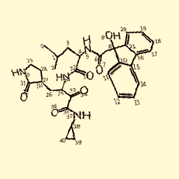 CC(C)CC(NC(=O)C1(O)c2ccccc2-c2ccccc21)C(=O)NC(C[C@@H]1CCNC1=O)C(=O)C(=O)NC1CC1